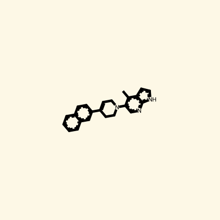 Cc1c(N2CC=C(c3ccc4ccccc4c3)CC2)cnc2[nH]ccc12